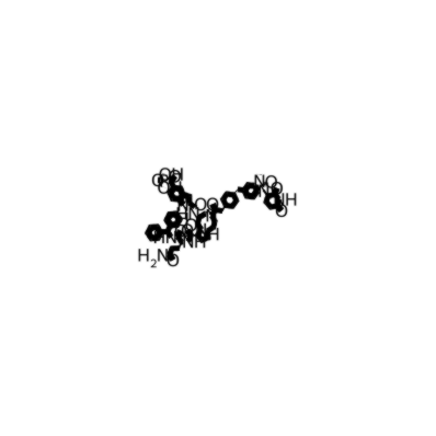 Cn1c(=O)n([C@@H]2CCC(=O)NC2=O)c2ccc(C[C@H]3CC[C@H](CC(=O)N4CC[C@H]5CC[C@@H](C(=O)N[C@@H](CCC(N)=O)C(=O)NC(c6ccccc6)c6ccccc6)N5C(=O)[C@@H](NC(=O)c5cc6cc(C(=O)P(=O)(O)O)ccc6[nH]5)C4)CC3)cc21